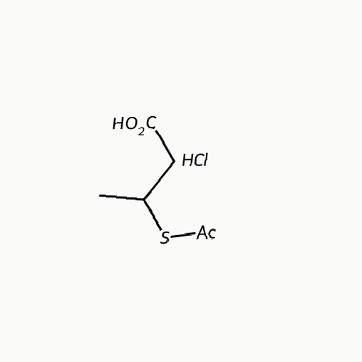 CC(=O)SC(C)CC(=O)O.Cl